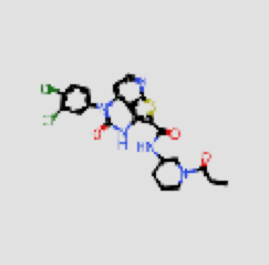 C=CC(=O)N1CCCC(NC(=O)c2sc3nccc4c3c2NC(=O)N4c2ccc(Cl)c(Cl)c2)C1